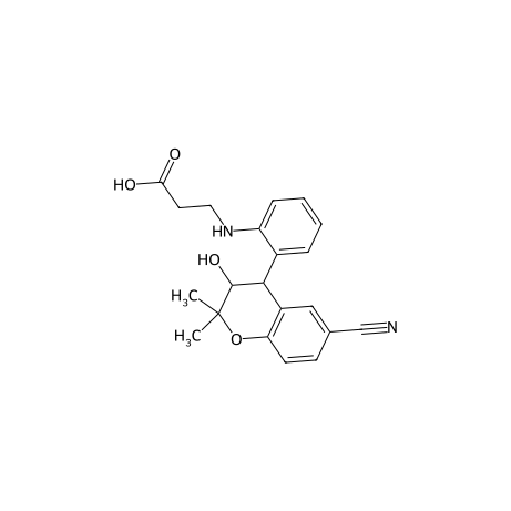 CC1(C)Oc2ccc(C#N)cc2C(c2ccccc2NCCC(=O)O)C1O